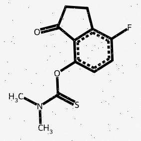 CN(C)C(=S)Oc1ccc(F)c2c1C(=O)CC2